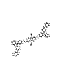 N#Cc1c2ccc(C=Cc3ccc(N(c4ccccc4)c4ccc(OC5CCCCC5)cc4)cc3)cc2c(C#N)c2ccc(C=Cc3ccc(N(c4ccccc4)c4ccc(OC5CCCCC5)cc4)cc3)cc12